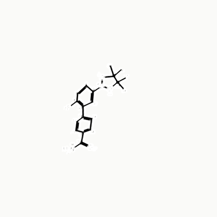 CC1(C)OB(c2ccc(F)c(-c3ccc(C(N)=O)cc3)c2)OC1(C)C